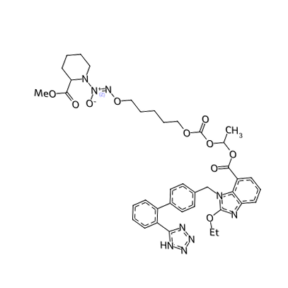 CCOc1nc2cccc(C(=O)OC(C)OC(=O)OCCCCCO/N=[N+](\[O-])N3CCCCC3C(=O)OC)c2n1Cc1ccc(-c2ccccc2-c2nnn[nH]2)cc1